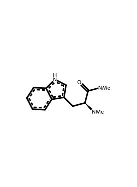 CNC(=O)[C@H](Cc1c[nH]c2ccccc12)NC